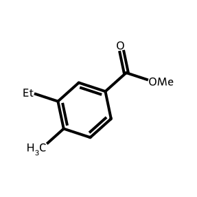 CCc1cc(C(=O)OC)ccc1C